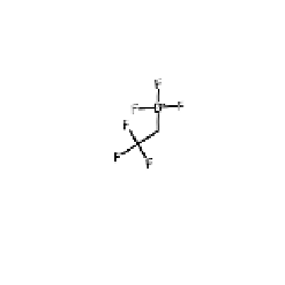 F[B-](F)(F)CC(F)(F)F